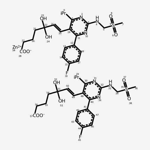 CC(C)c1nc(NCS(C)(=O)=O)nc(-c2ccc(F)cc2)c1C=CC(O)(O)CCCC(=O)[O-].CC(C)c1nc(NCS(C)(=O)=O)nc(-c2ccc(F)cc2)c1C=CC(O)(O)CCCC(=O)[O-].[Zn+2]